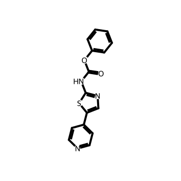 O=C(Nc1ncc(-c2ccncc2)s1)Oc1ccccc1